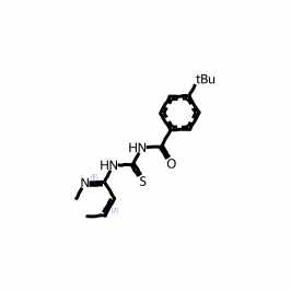 C/C=C\C(=N/C)NC(=S)NC(=O)c1ccc(C(C)(C)C)cc1